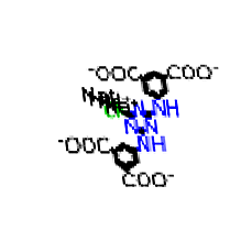 O=C([O-])c1cc(Nc2nc(Cl)nc(Nc3cc(C(=O)[O-])cc(C(=O)[O-])c3)n2)cc(C(=O)[O-])c1.[Na+].[Na+].[Na+].[Na+]